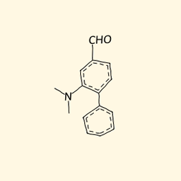 CN(C)c1cc(C=O)ccc1-c1ccccc1